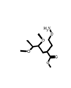 COC(=O)C(CCON)CC(OC)C(C)OC